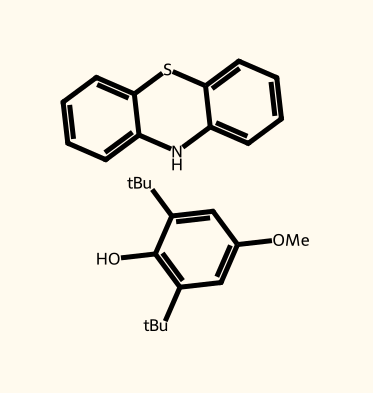 COc1cc(C(C)(C)C)c(O)c(C(C)(C)C)c1.c1ccc2c(c1)Nc1ccccc1S2